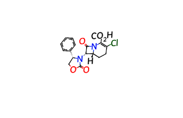 O=C(O)C1=C(Cl)CC[C@@H]2[C@H](N3C(=O)OC[C@@H]3c3ccccc3)C(=O)N12